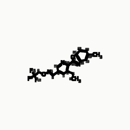 CCc1cc(/C=N/OCC(F)(F)F)cnc1-c1nc2cc(C)ccc2o1